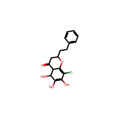 O=C1CC(CCc2ccccc2)OC2=C(Cl)C(O)=C(O)C(O)C12